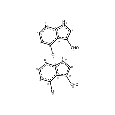 O=Cc1c[nH]c2nccc(Cl)c12.O=Cc1c[nH]c2nccc(Cl)c12